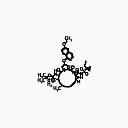 CCOc1ccc2c(O[C@@H]3C[C@H]4C(=O)N[C@]5(C(=O)NS(=O)(=O)C6(CF)CC6)C[C@H]5/C=C\CC[C@H](C)C[C@@H](C)[C@H](NC(=O)OC(C)(C)C)C(=O)N4C3)nccc2c1